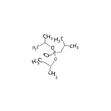 CC(C)CP(=O)(OC(C)C)OC(C)C